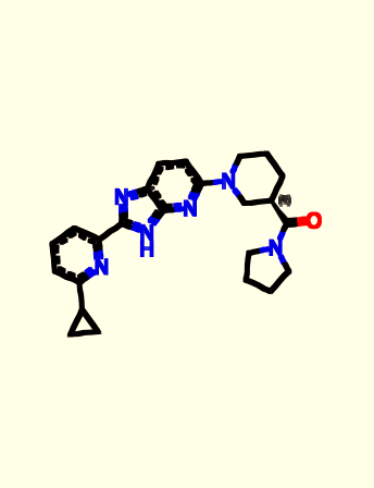 O=C([C@@H]1CCCN(c2ccc3nc(-c4cccc(C5CC5)n4)[nH]c3n2)C1)N1CCCC1